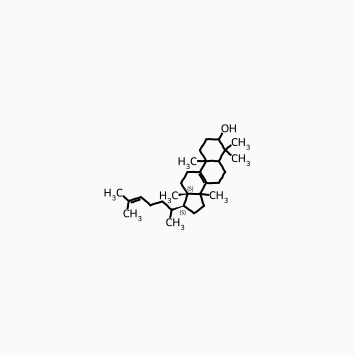 CC(C)=CCCC(C)[C@@H]1CCC2(C)C3=C(CC[C@@]12C)C1(C)CCC(O)C(C)(C)C1CC3